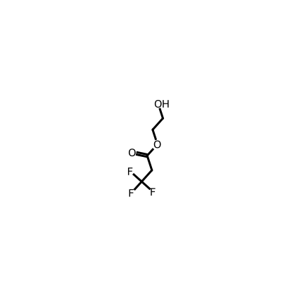 O=C(CC(F)(F)F)OCCO